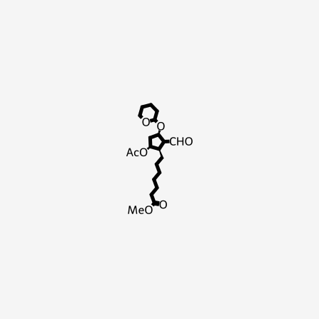 COC(=O)CCCCCC[C@@H]1C(C=O)[C@H](OC2CCCCO2)C[C@@H]1OC(C)=O